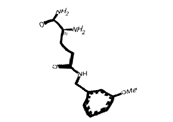 COc1cccc(CNC(=O)CC[C@H](N)C(N)=O)c1